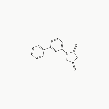 O=C1CC(=O)N(c2cccc(-c3ccccc3)c2)C1